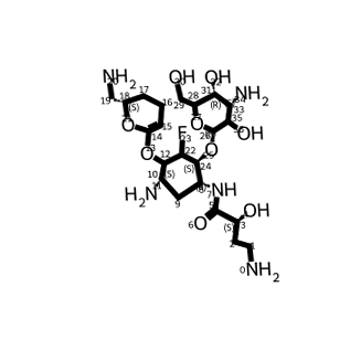 NCC[C@H](O)C(=O)N[C@@H]1C[C@H](N)C(OC2=CCC[C@@H](CN)O2)C(F)[C@H]1O[C@H]1OC(CO)[C@H](O)[C@H](N)C1O